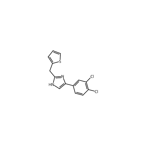 Clc1ccc(-c2c[nH]c(Cc3cccs3)n2)cc1Cl